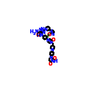 CN1CCN([C@@H]2CCCN(c3nnc(C(N)=O)c(Nc4ccc(N5CCN(CC6CCN(c7ccc(N8CCC(=O)NC8=O)cc7)CC6)C(=O)C5)c(F)c4)n3)C2)C1=O